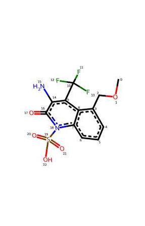 COCc1cccc2c1c(C(F)(F)F)c(N)c(=O)n2S(=O)(=O)O